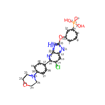 O=P(O)(O)c1cccc(Oc2nc3cc(Cl)c(-c4ccc(N5CCOCC5)cc4)nc3[nH]2)c1